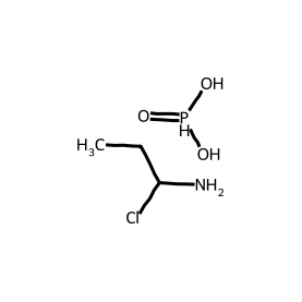 CCC(N)Cl.O=[PH](O)O